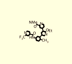 CCOc1ncc(-c2cc(NC(=O)c3ccnc(C(F)(F)F)c3)ccc2C)cc1-c1ccnc(C(=O)NC)c1